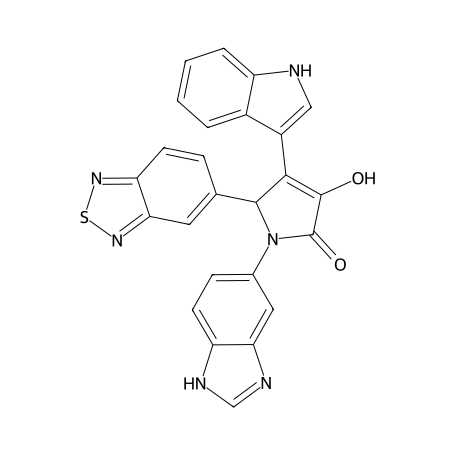 O=C1C(O)=C(c2c[nH]c3ccccc23)C(c2ccc3nsnc3c2)N1c1ccc2[nH]cnc2c1